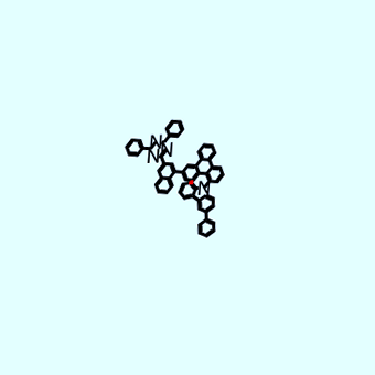 c1ccc(-c2ccc3c(c2)c2ccccc2n3-c2cccc3c4ccccc4c4cc(-c5cc(-c6nc(-c7ccccc7)nc(-c7ccccc7)n6)cc6ccccc56)ccc4c23)cc1